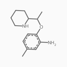 Cc1ccc(OC(C)C2CCCCN2)c(N)c1